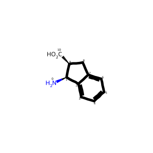 N[C@@H]1c2ccccc2C[C@@H]1C(=O)O